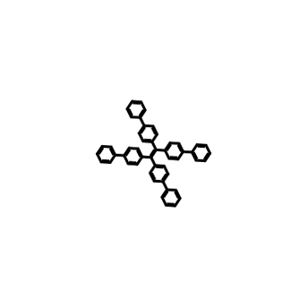 c1ccc(-c2ccc(C(=C(c3ccc(-c4ccccc4)cc3)c3ccc(-c4ccccc4)cc3)c3ccc(-c4ccccc4)cc3)cc2)cc1